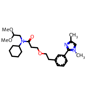 COC(CN(C(=O)CCOCCc1cccc(-c2nc(C)cn2C)c1)C1CCCCC1)OC